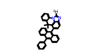 [2H]c1nc2ccc(-c3c4ccccc4c(-c4ccccc4)c4ccccc34)c3c2n1-c1ccccc1C3(C)C